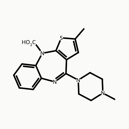 Cc1cc2c(s1)N(C(=O)O)c1ccccc1N=C2N1CCN(C)CC1